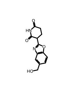 O=C1CCC(c2nc3cc(CO)ccc3o2)C(=O)N1